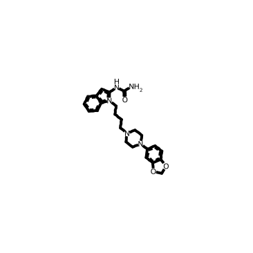 NC(=O)Nc1cc2ccccc2n1CCCCN1CCN(c2ccc3c(c2)OCO3)CC1